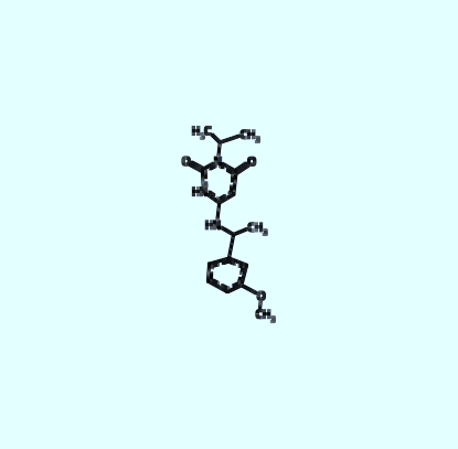 COc1cccc(C(C)Nc2cc(=O)n(C(C)C)c(=O)[nH]2)c1